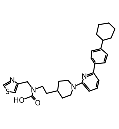 O=C(O)N(CCC1CCN(c2cccc(-c3ccc(C4CCCCC4)cc3)n2)CC1)Cc1cscn1